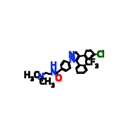 CN(C)CCNC(=O)c1ccc(-n2ncc(-c3ccc(Cl)cc3)c2-c2ccccc2C(F)(F)F)cc1